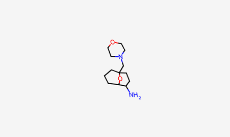 NC1CCC2(CN3CCOCC3)CCCC1O2